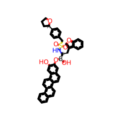 O=S(=O)(Cc1ccc([C@H]2CCCO2)cc1)N[C@@H](Cc1coc2ccccc12)B(O)Oc1cc2ccc3c(ccc4c5ccccc5ccc43)c2cc1O